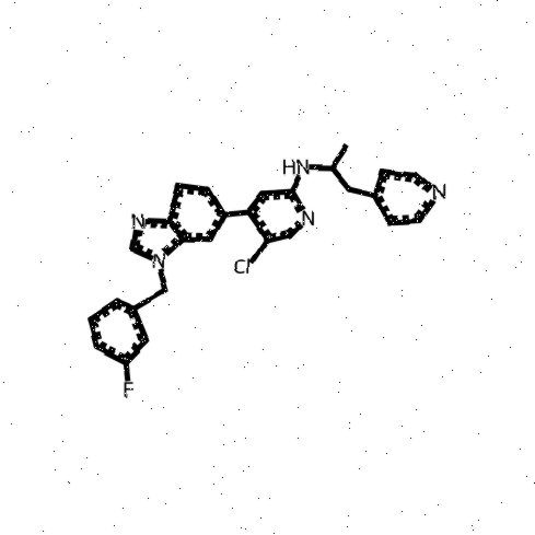 CC(Cc1ccncc1)Nc1cc(-c2ccc3ncn(Cc4cccc(F)c4)c3c2)c(Cl)cn1